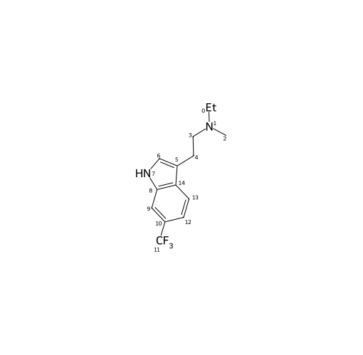 CCN(C)CCc1c[nH]c2cc(C(F)(F)F)ccc12